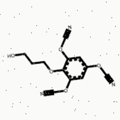 N#COc1cc(OC#N)c(OCCCO)c(OC#N)c1